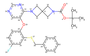 CC(C)(C)OC(=O)N1CC2(C1)CN(c1ncncc1Oc1ccc(F)cc1SCc1ccccc1)C2